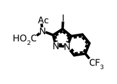 CC(=O)N(C(=O)O)c1nn2cc(C(F)(F)F)ccc2c1I